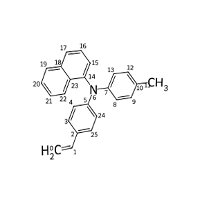 C=Cc1ccc(N(c2ccc(C)cc2)c2cccc3ccccc23)cc1